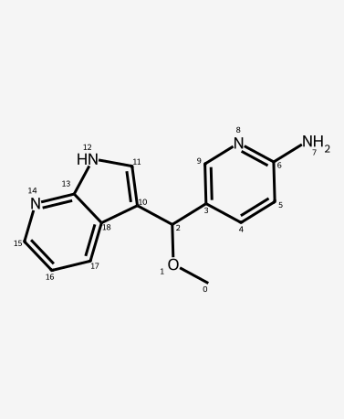 COC(c1ccc(N)nc1)c1c[nH]c2ncccc12